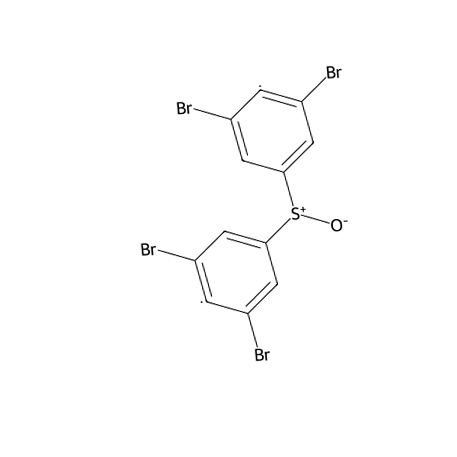 [O-][S+](c1cc(Br)[c]c(Br)c1)c1cc(Br)[c]c(Br)c1